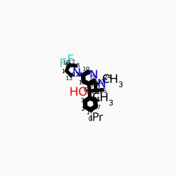 CC(C)c1ccc(C(O)(c2cncc(N3CCC(F)(F)C3)c2)C2(C)CN(C)C2)cc1